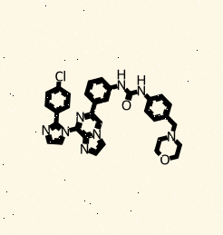 O=C(Nc1ccc(CN2CCOCC2)cc1)Nc1cccc(-c2cn3ccnc3c(-n3ccnc3-c3ccc(Cl)cc3)n2)c1